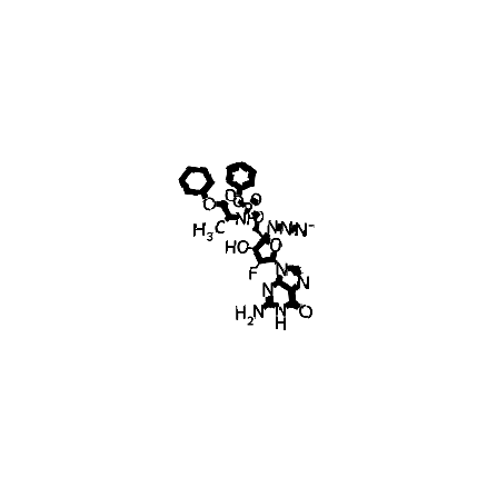 CC(NP(=O)(OC[C@@]1(N=[N+]=[N-])O[C@@H](N2C=NC3C(=O)NC(N)=NC32)[C@H](F)[C@@H]1O)Oc1ccccc1)C(=O)OC1CCCCC1